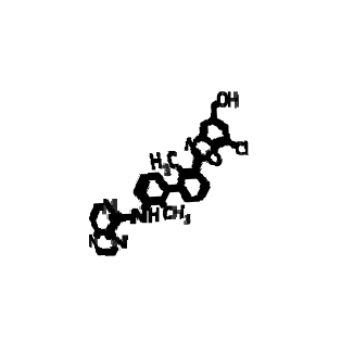 Cc1c(Nc2nccc3nccnc23)cccc1-c1cccc(-c2nc3cc(CO)cc(Cl)c3o2)c1C